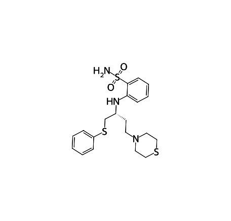 NS(=O)(=O)c1ccccc1N[C@H](CCN1CCSCC1)CSc1ccccc1